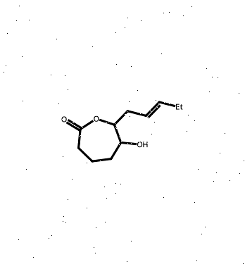 CCC=CCC1OC(=O)CCCC1O